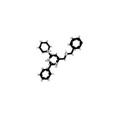 c1ccc(COCc2cc(N3CCCCC3)nc(-c3ccccc3)n2)cc1